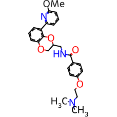 COc1cccc(-c2cccc3c2OC(CNC(=O)c2ccc(OCCN(C)C)cc2)CO3)n1